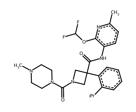 Cc1ccc(NC(=O)C2(c3ccccc3C(C)C)CN(C(=O)N3CCN(C)CC3)C2)c(OC(F)F)n1